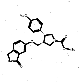 COc1ccc([C@@H]2CN(C(=O)OC(C)(C)C)C[C@H]2COc2ccc3c(c2)C(=O)NC3)cc1